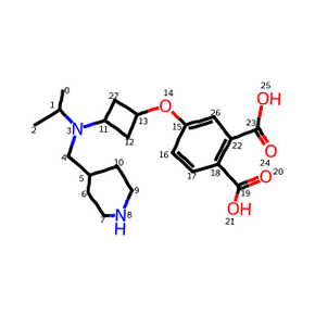 CC(C)N(CC1CCNCC1)C1CC(Oc2ccc(C(=O)O)c(C(=O)O)c2)C1